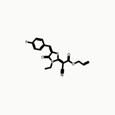 C=CCOC(=O)/C(C#N)=c1\sc(=Cc2ccc(F)cc2)c(=O)n1CC